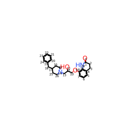 O=C1CCc2cccc(OCC(O)CN3CCC(Cc4ccccc4)CC3)c2N1